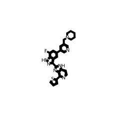 Fc1cc(-c2cncc(CN3CCCCC3)c2)cc2c(-c3nc4c(-c5cccs5)nccc4[nH]3)n[nH]c12